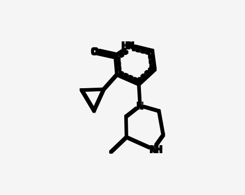 CC1CN(c2cc[nH]c(=O)c2C2CC2)CCN1